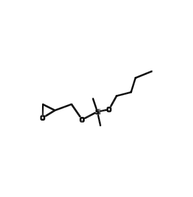 CCCCO[Si](C)(C)OCC1CO1